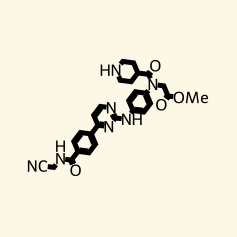 COC(=O)CN(C(=O)C1CCNCC1)c1ccc(Nc2nccc(-c3ccc(C(=O)NCC#N)cc3)n2)cc1